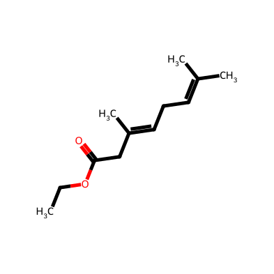 CCOC(=O)C/C(C)=C/CC=C(C)C